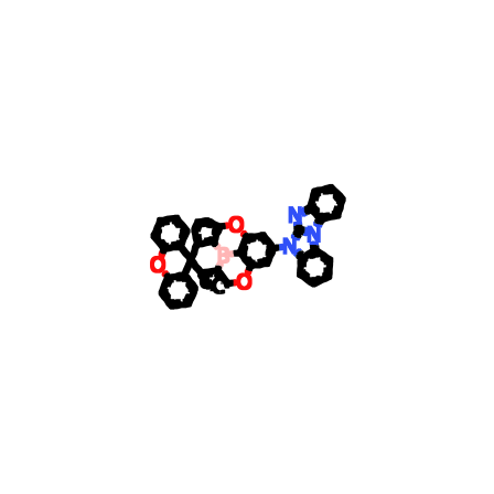 c1ccc2c(c1)Oc1ccccc1C21c2cccc3c2B2c4c(cc(-n5c6ccccc6n6c7ccccc7nc56)cc4Oc4cccc1c42)O3